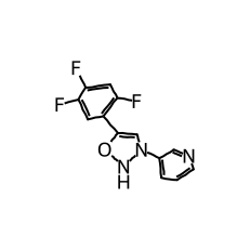 Fc1cc(F)c(C2=CN(c3cccnc3)NO2)cc1F